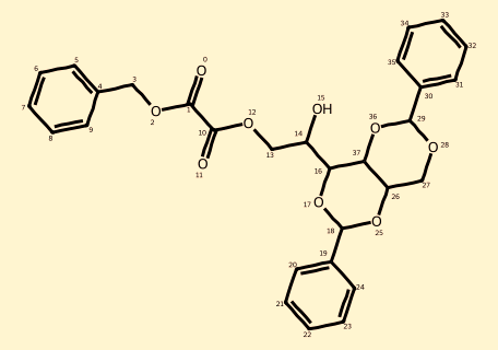 O=C(OCc1ccccc1)C(=O)OCC(O)C1OC(c2ccccc2)OC2COC(c3ccccc3)OC21